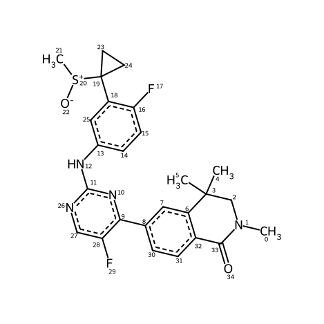 CN1CC(C)(C)c2cc(-c3nc(Nc4ccc(F)c(C5([S+](C)[O-])CC5)c4)ncc3F)ccc2C1=O